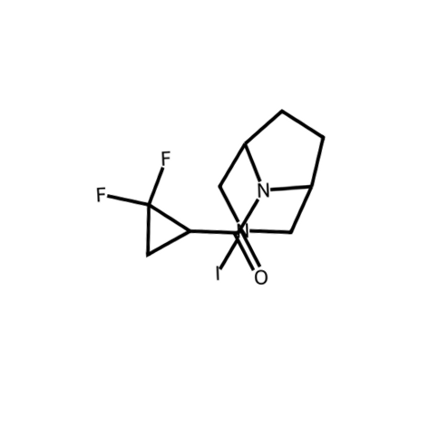 O=C(C1CC1(F)F)N1C2CCC1CN(I)C2